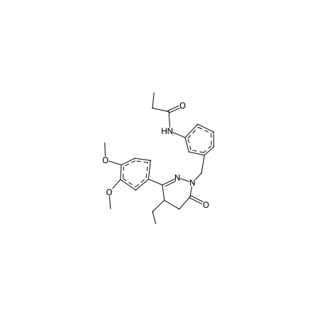 CCC(=O)Nc1cccc(CN2N=C(c3ccc(OC)c(OC)c3)C(CC)CC2=O)c1